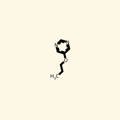 CCCOc1cncnc1